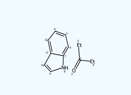 CCC(=O)CC.c1ccc2[nH]ccc2c1